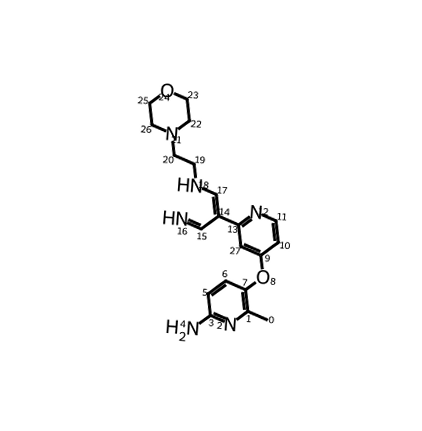 Cc1nc(N)ccc1Oc1ccnc(/C(C=N)=C/NCCN2CCOCC2)c1